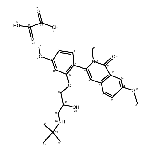 COc1ccc(-c2cc3ccc(OC)cc3c(=O)n2C)c(OCC(O)CNC(C)(C)C)c1.O=C(O)C(=O)O